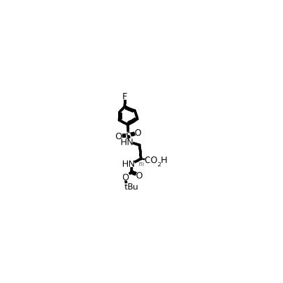 CC(C)(C)OC(=O)N[C@@H](CNS(=O)(=O)c1ccc(F)cc1)C(=O)O